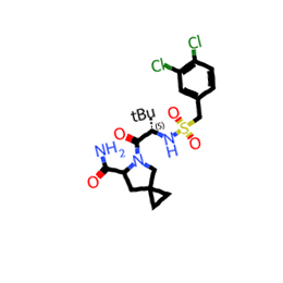 CC(C)(C)[C@H](NS(=O)(=O)Cc1ccc(Cl)c(Cl)c1)C(=O)N1CC2(CC2)CC1C(N)=O